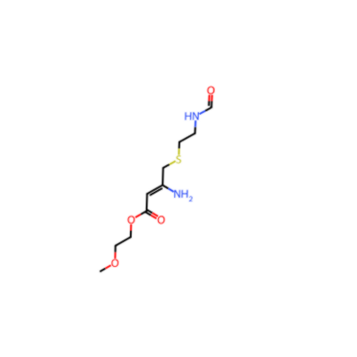 COCCOC(=O)/C=C(\N)CSCCNC=O